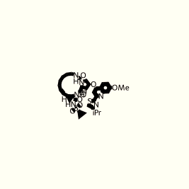 COc1ccc2c(O[C@@H]3C[C@H]4C(=O)N[C@]5(C(=O)NS(=O)(=O)C6CC6)C[C@H]5/C=C\CCCCCNC(=O)N4C3)cc(-c3nc(C(C)C)cs3)nc2c1